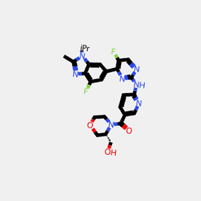 Cc1nc2c(F)cc(-c3nc(Nc4ccc(C(=O)N5CCOC[C@H]5CO)cn4)ncc3F)cc2n1C(C)C